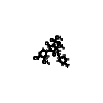 [C-]#[N+]c1ccc(N2C(=O)N(S(C)(=O)=O)[C@@](C)(CCc3ccc(F)cc3)C2=O)cc1C